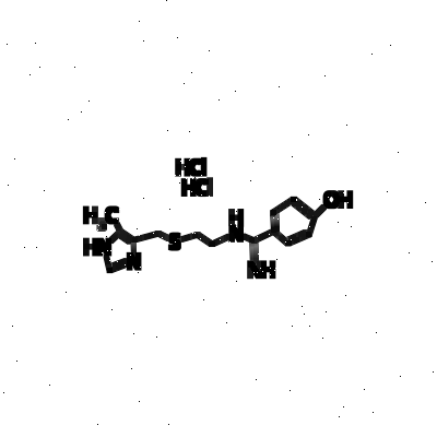 Cc1[nH]cnc1CSCCNC(=N)c1ccc(O)cc1.Cl.Cl